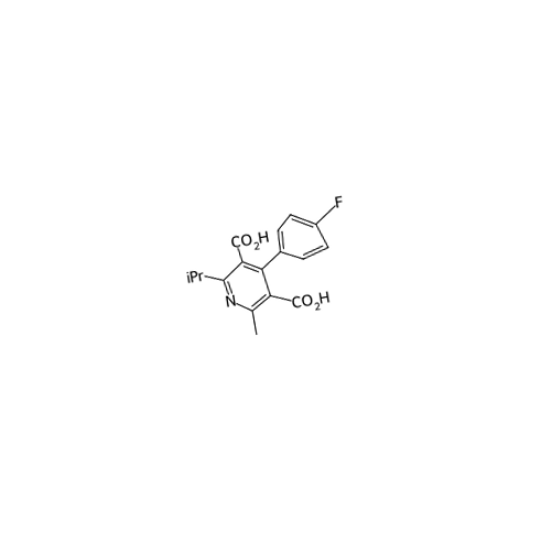 Cc1nc(C(C)C)c(C(=O)O)c(-c2ccc(F)cc2)c1C(=O)O